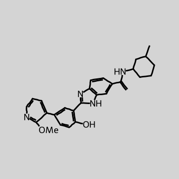 C=C(NC1CCCC(C)C1)c1ccc2nc(-c3cc(-c4cccnc4OC)ccc3O)[nH]c2c1